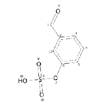 O=Cc1cccc(OS(=O)(=O)O)c1